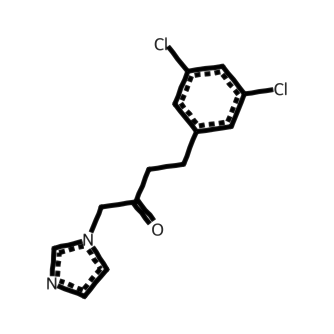 O=C(CCc1cc(Cl)cc(Cl)c1)Cn1ccnc1